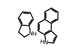 c1ccc2c(c1)CCN2.c1ccc2c(c1)ccc1[nH]ccc12